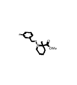 COC(=O)C1(C)CCCCN1N=Cc1cccc(F)c1